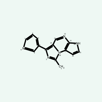 Cc1nc(-c2cccnc2)c2cnc3[nH]ccc3n12